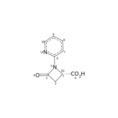 O=C(O)[C@@H]1CC(=O)N1c1ccccn1